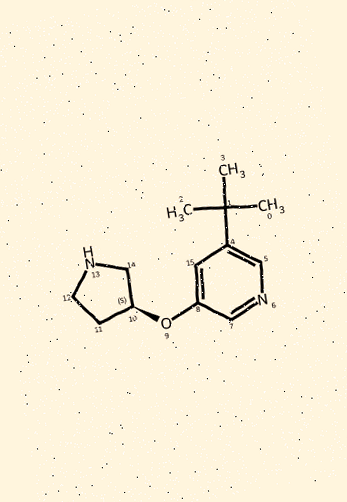 CC(C)(C)c1cncc(O[C@H]2CCNC2)c1